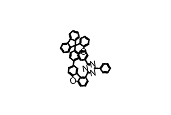 c1ccc(-c2nc(-c3ccccc3)nc(-c3cccc4oc5ccc(-c6ccc7c(c6)Oc6ccccc6C76c7ccccc7-c7ccccc76)cc5c34)n2)cc1